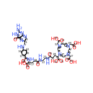 Nc1nc2ncc(CNc3ccc(C(=O)N[C@@H](CCC(=O)NCCNC(=O)CCC(C(=O)O)N4CCN(CC(=O)O)CCN(CC(=O)O)CCN(CC(=O)O)CC4)C(=O)O)cc3)nc2c(=O)[nH]1